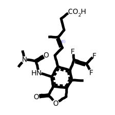 C/C(=C\Cc1c(NC(=O)N(C)C)c2c(c(C)c1C(F)=C(F)F)COC2=O)CCC(=O)O